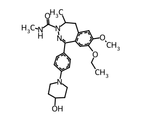 CCOc1cc2c(cc1OC)CC(C)N(C(=O)NC)N=C2c1ccc(N2CCC(O)CC2)cc1